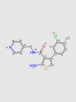 Nc1scc(-c2ccc(Cl)c(Cl)c2)c1C(=O)NCc1ccncc1